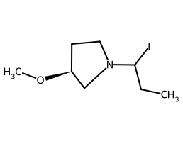 CCC(I)N1CC[C@H](OC)C1